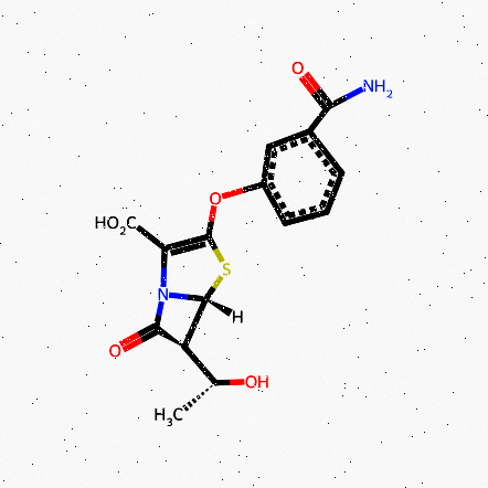 C[C@@H](O)[C@H]1C(=O)N2C(C(=O)O)=C(Oc3cccc(C(N)=O)c3)S[C@H]12